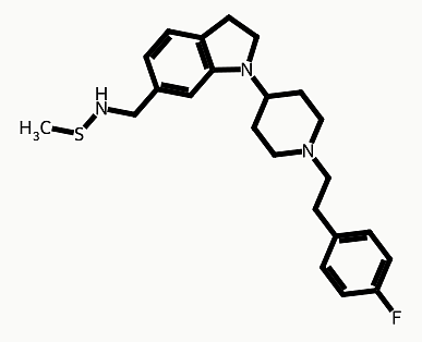 CSNCc1ccc2c(c1)N(C1CCN(CCc3ccc(F)cc3)CC1)CC2